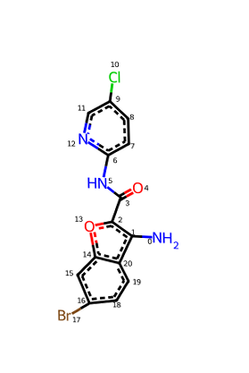 Nc1c(C(=O)Nc2ccc(Cl)cn2)oc2cc(Br)ccc12